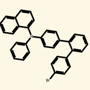 Brc1ccc(-c2ccccc2-c2ccc(N(c3ccccc3)c3cccc4ccccc34)cc2)cc1